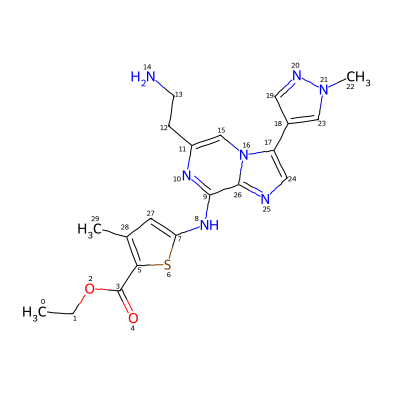 CCOC(=O)c1sc(Nc2nc(CCN)cn3c(-c4cnn(C)c4)cnc23)cc1C